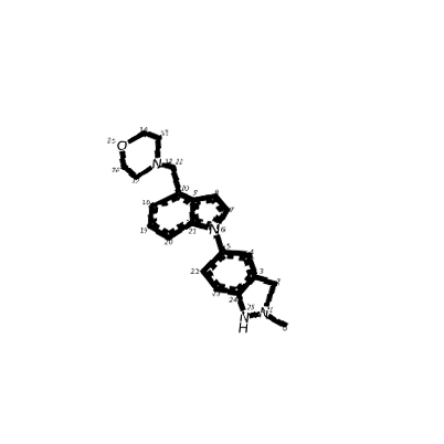 CN1Cc2cc(-n3ccc4c(CN5CCOCC5)cccc43)ccc2N1